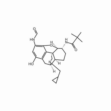 CC(C)(C)C(=O)N[C@@H]1CC[C@H]2[C@H]3Cc4c(O)cc(NC=O)c5c4[C@@]2(CCN3CC2CC2)[C@H]1O5